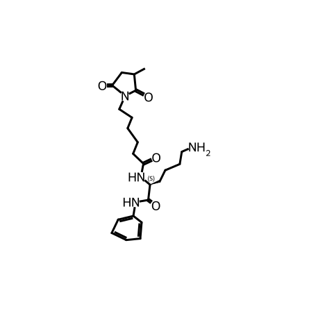 CC1CC(=O)N(CCCCCC(=O)N[C@@H](CCCCN)C(=O)Nc2ccccc2)C1=O